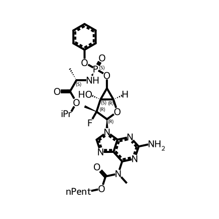 CCCCCOC(=O)N(C)c1nc(N)nc2c1ncn2[C@@H]1O[C@@H]2C(O[P@@](=O)(N[C@@H](C)C(=O)OC(C)C)Oc3ccccc3)[C@]2(O)[C@@]1(C)F